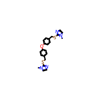 Cn1ccnc1SCc1ccc(Oc2ccc(CSc3nccn3C)cc2)cc1